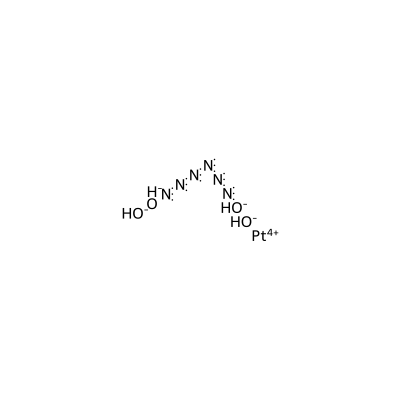 [N].[N].[N].[N].[N].[N].[OH-].[OH-].[OH-].[OH-].[Pt+4]